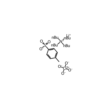 CCCC[N+](CCCC)(CCCC)CCCC.Cc1ccc(S(=O)(=O)[O-])cc1.[Li+].[O-][Cl+3]([O-])([O-])[O-]